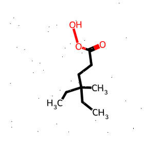 CCC(C)(CC)CCC(=O)OO